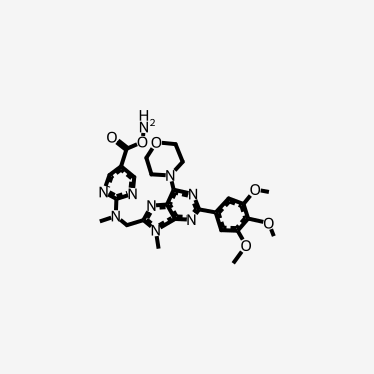 COc1cc(-c2nc(N3CCOCC3)c3nc(CN(C)c4ncc(C(=O)ON)cn4)n(C)c3n2)cc(OC)c1OC